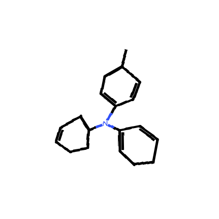 CC1C=CC(N(C2=CCCC=C2)C2CC=CCC2)=CC1